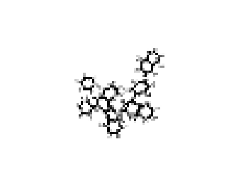 c1ccc(-n2c3ccccc3c3c4c5ccccc5n(-c5nc(-c6ccc(-c7ccc8ccccc8c7)cc6)c6ccccc6n5)c4c4ccccc4c32)cc1